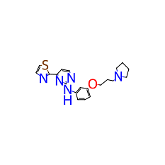 c1cc(Nc2nccc(-c3nccs3)n2)cc(OCCCN2CCCC2)c1